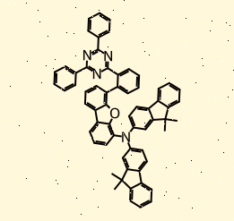 CC1(C)c2ccccc2-c2ccc(N(c3ccc4c(c3)C(C)(C)c3ccccc3-4)c3cccc4c3oc3c(-c5ccccc5-c5nc(-c6ccccc6)nc(-c6ccccc6)n5)cccc34)cc21